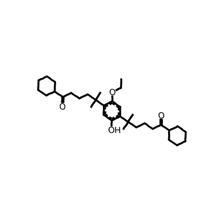 CCOc1cc(C(C)(C)CCCC(=O)C2CCCCC2)c(O)cc1C(C)(C)CCCC(=O)C1CCCCC1